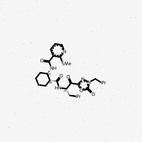 CSc1ncccc1C(=O)N[C@H]1CCCC[C@H]1C(=O)N[C@@H](CC(C)C)C(=O)c1nn(CC(C)C)c(=O)o1